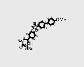 COc1ccc(-c2ccc(S(=O)(=O)Oc3ccc(C(O)CN(C)C(=O)OC(C)(C)C)cc3)cc2)cc1